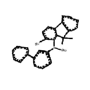 CC(C)(C)c1ccc2c(c1N(c1cccc(-c3ccccc3)c1)C(C)(C)C)C(C)(C)c1ccccc1-2